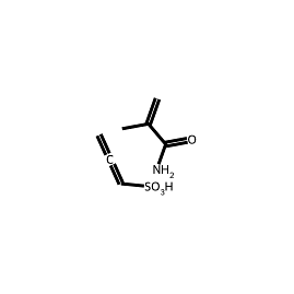 C=C(C)C(N)=O.C=C=CS(=O)(=O)O